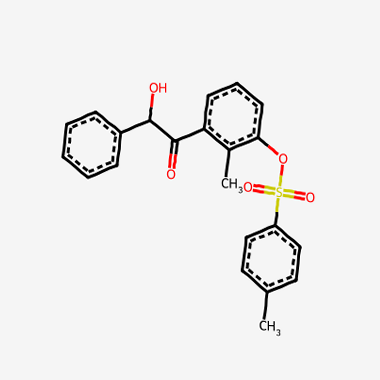 Cc1ccc(S(=O)(=O)Oc2cccc(C(=O)C(O)c3ccccc3)c2C)cc1